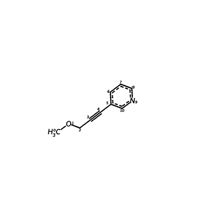 COCC#Cc1cc[c]nc1